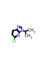 CC(C)n1cnc2ccc(Cl)nc21